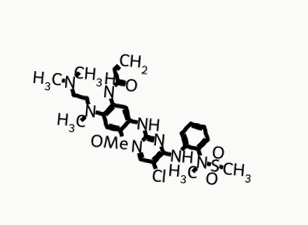 C=CC(=O)Nc1cc(Nc2ncc(Cl)c(Nc3ccccc3N(C)S(C)(=O)=O)n2)c(OC)cc1N(C)CCN(C)C